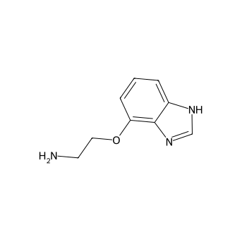 NCCOc1cccc2[nH]cnc12